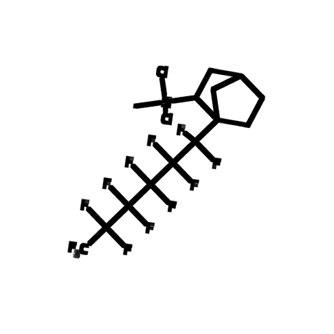 C[Si](Cl)(Cl)C1CC2CCC1(C(F)(F)C(F)(F)C(F)(F)C(F)(F)C(F)(F)C(F)(F)F)C2